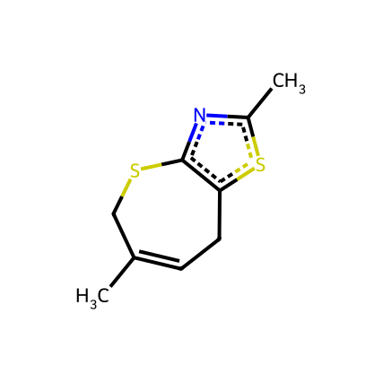 CC1=CCc2sc(C)nc2SC1